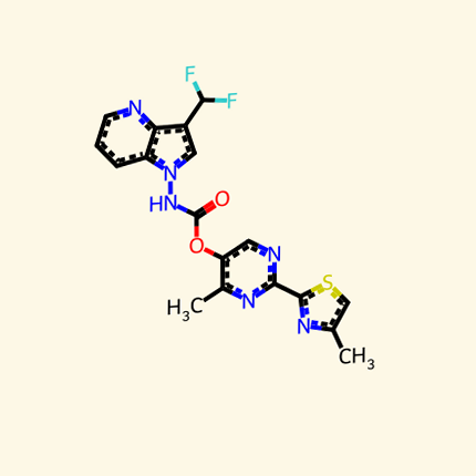 Cc1csc(-c2ncc(OC(=O)Nn3cc(C(F)F)c4ncccc43)c(C)n2)n1